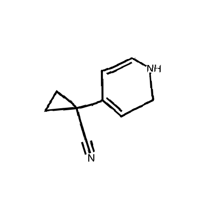 N#CC1(C2=CCN[C]=C2)CC1